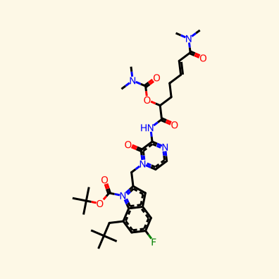 CN(C)C(=O)/C=C/CCC(OC(=O)N(C)C)C(=O)Nc1nccn(Cc2cc3cc(F)cc(CC(C)(C)C)c3n2C(=O)OC(C)(C)C)c1=O